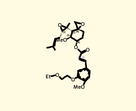 CCOCCOc1cc(/C=C/C(=O)O[C@@H]2CC[C@]3(CO3)[C@@H](C3(C)O[C@H]3CC=C(C)C)[C@@H]2OC)ccc1OC